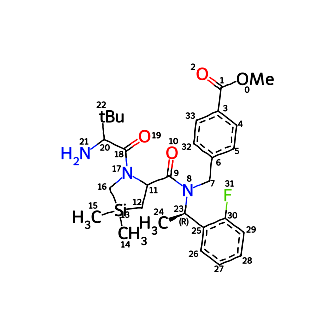 COC(=O)c1ccc(CN(C(=O)C2C[Si](C)(C)CN2C(=O)C(N)C(C)(C)C)[C@H](C)c2ccccc2F)cc1